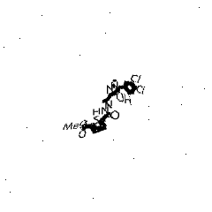 COC(=O)c1ccc(C(=O)NN=C(C)c2nn(C)c(-c3ccc(Cl)c(Cl)c3)c2O)s1